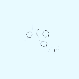 CCOP(=O)(OCC)c1ccc2c(c1)C(=C(Nc1ccc(N(CC(=O)N(C)C)C(C)=O)cc1)c1ccccc1)C(=O)N2